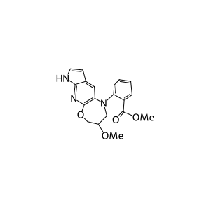 COC(=O)c1ccccc1N1CC(OC)COc2nc3[nH]ccc3cc21